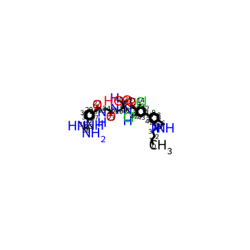 CCCCN1NCc2ccc(-c3cc(Cl)c(C(=O)N[C@@H](CNC(=O)CNC(=O)c4cccc(NC(=N)N)c4)C(=O)O)c(Cl)c3)cc21